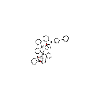 c1ccc(-c2ccc(-n3c4ccccc4c4c(-n5c6ccccc6c6ccc(-n7c8ccccc8c8ccccc87)c([Si](c7ccccc7)(c7ccccc7)c7ccccc7)c65)cccc43)cc2)cc1